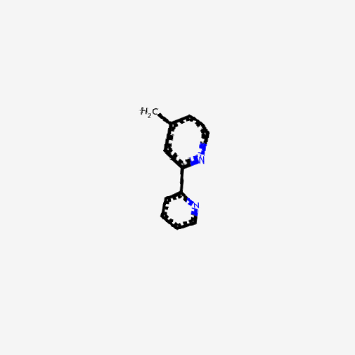 [CH2]c1ccnc(-c2ccccn2)c1